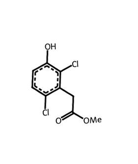 COC(=O)Cc1c(Cl)ccc(O)c1Cl